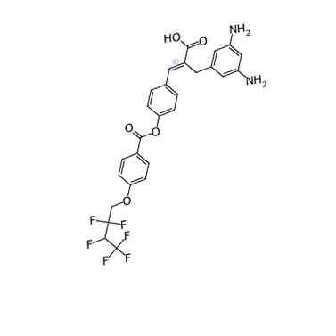 Nc1cc(N)cc(C/C(=C\c2ccc(OC(=O)c3ccc(OCC(F)(F)C(F)C(F)(F)F)cc3)cc2)C(=O)O)c1